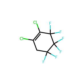 FC1(F)CC(Cl)=C(Cl)C(F)(F)C1(F)F